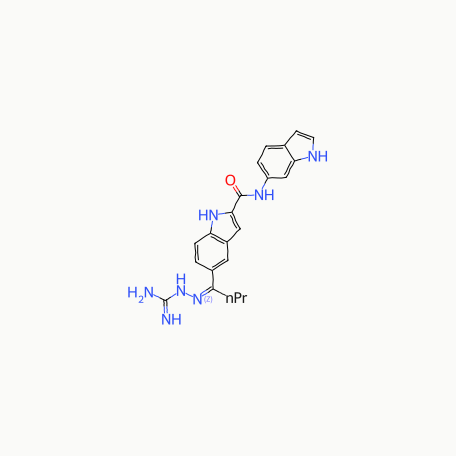 CCC/C(=N/NC(=N)N)c1ccc2[nH]c(C(=O)Nc3ccc4cc[nH]c4c3)cc2c1